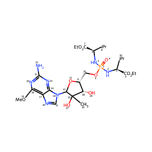 CCOC(=O)[C@@H](NP(=O)(N[C@@H](C(=O)OCC)C(C)C)OC[C@H]1OC(n2cnc3c(OC)nc(N)nc32)C(C)(O)[C@H]1O)C(C)C